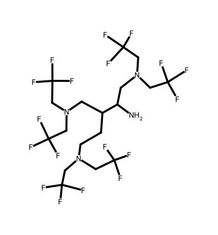 NC(CN(CC(F)(F)F)CC(F)(F)F)C(CCN(CC(F)(F)F)CC(F)(F)F)CN(CC(F)(F)F)CC(F)(F)F